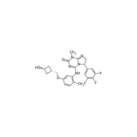 Cc1ccc(OC[C@H]2C[C@H](O)C2)cc1NC1=NC(=O)N(C)C2=NCC(c3cc(F)c(F)c(F)c3)N12